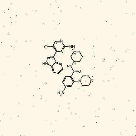 Nc1ccc(C(=O)N[C@H]2CCC[C@@H](Nc3ncc(Cl)c(-c4c[nH]c5ccccc45)n3)C2)c(N2CCOCC2)c1